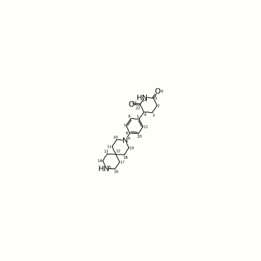 O=C1CCC(c2ccc(N3CCC4(CCNCC4)CC3)cc2)C(=O)N1